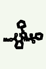 COC(=O)c1ccccc1-c1nn(-c2ccccc2)cc1NS(=O)(=O)c1ccccc1